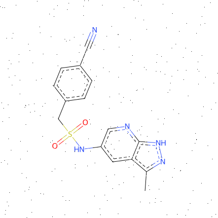 Cc1n[nH]c2ncc(NS(=O)(=O)Cc3ccc(C#N)cc3)cc12